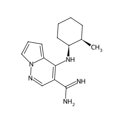 C[C@@H]1CCCC[C@@H]1Nc1c(C(=N)N)cnn2cccc12